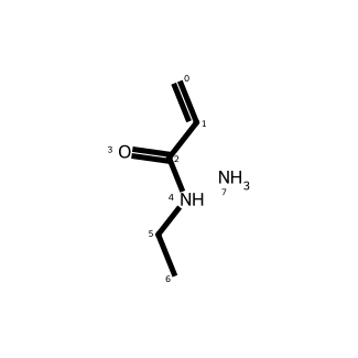 C=CC(=O)NCC.N